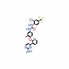 CNc1nccc(-c2cccnc2Oc2ccc(NC(=O)Nc3ccc(C(F)(F)F)cc3Cl)cc2C)n1